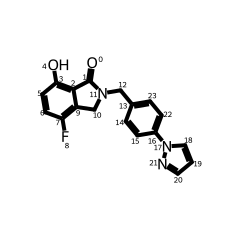 O=C1c2c(O)ccc(F)c2CN1Cc1ccc(-n2cccn2)cc1